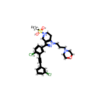 CS(=O)(=O)N1CCc2c(c(-c3ccc(Cl)c(C#Cc4cccc(Cl)c4)c3)nn2CCCN2CCOCC2)C1